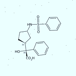 O=C(O)[C@](O)(c1ccccc1)[C@H]1CCC(NS(=O)(=O)c2ccccc2)C1